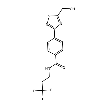 O=C(NCCC(F)(F)F)c1ccc(-c2nsc(CO)n2)cc1